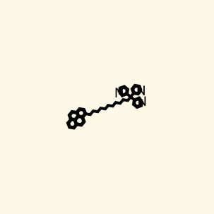 c1cncc(C(CCCCCCCCCCCc2ccc3ccc4cccc5ccc2c3c45)(c2cccnc2)c2cccnc2)c1